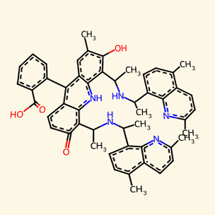 Cc1ccc2c(C)ccc(C(C)NC(C)c3c4[nH]c5c(C(C)NC(C)c6ccc(C)c7ccc(C)nc67)c(O)c(C)cc5c(-c5ccccc5C(=O)O)c-4ccc3=O)c2n1